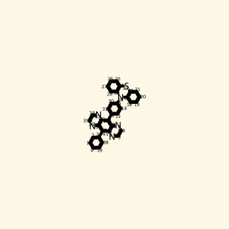 c1ccc(-c2c3nccnc3c(-c3ccc(N4c5ccccc5Sc5ccccc54)cc3)c3nccnc23)cc1